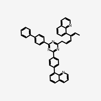 C/C=C(\C=C/Cc1nc(-c2ccc(-c3ccccc3)cc2)nc(-c2ccc(-c3cccc4cccnc34)cc2)n1)c1cccc2cccnc12